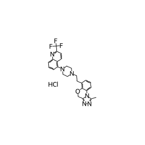 Cc1nnc2n1-c1cccc(CCN3CCN(c4cccc5nc(C(F)(F)F)ccc45)CC3)c1OC2.Cl